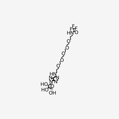 O=C(NCCCOCCOCCOCCOCCOCCCNc1ncnc2c1ncn2[C@@H]1O[C@H](CO)[C@H](O)C1O)C(F)(F)F